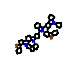 c1ccc(-n2c3ccccc3c3cc4c(cc32)c2c3c(ccc2n2c(-c5ccc6c(c5)c5ccc7c8ccc9sc%10ccccc%10c9c8n8cc9ccccc9c8c7c5n6-c5ccccc5)c5ccccc5c42)sc2ccccc23)cc1